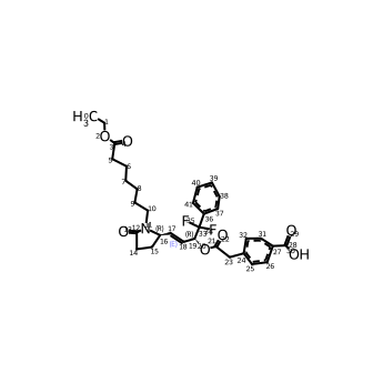 CCOC(=O)CCCCCCN1C(=O)CC[C@@H]1/C=C/[C@@H](OC(=O)Cc1ccc(C(=O)O)cc1)C(F)(F)c1ccccc1